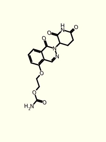 NC(=O)OCCOc1cccc2c(=O)n(C3CCC(=O)NC3=O)ncc12